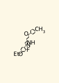 CCOc1ccc(-c2cc(C=CC(=O)c3ccc(C)cc3)[nH]n2)c(F)c1